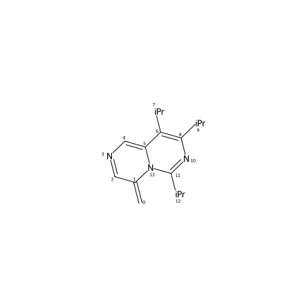 C=C1C=NC=C2C(C(C)C)=C(C(C)C)N=C(C(C)C)N12